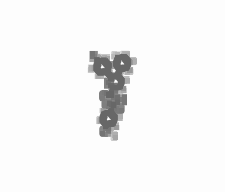 O=C(NS(=O)(=O)c1ccc(C(F)(F)F)cc1)N1CCC(c2ccccc2)C(c2ccc(F)cc2)=N1